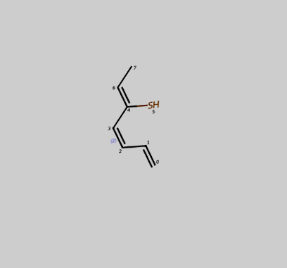 C=C/C=C\C(S)=CC